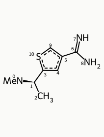 CN[C@H](C)c1cc(C(=N)N)cs1